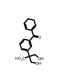 O=C(C1=CCCC=C1)c1cccc(C(CO)(CO)C(=O)O)c1